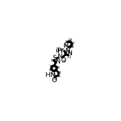 CC(C)c1c(C(=O)Nc2nc(-c3ccc4c(c3)CCC(=O)N4)cs2)cnn1-c1ccccn1